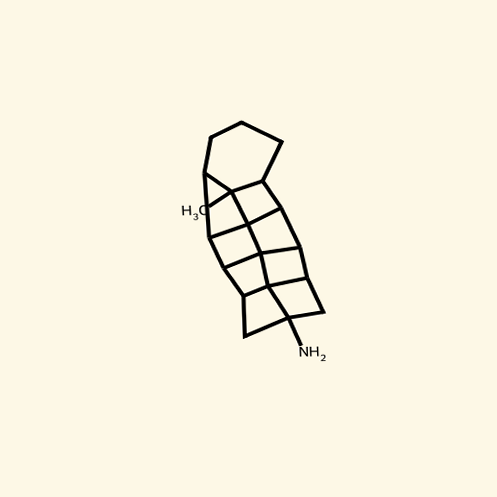 CC12C3CCCC1C1C4C5CC6(N)CC7C8C3C12C84C756